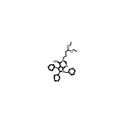 CCOC(CCCn1cnc2c(c(-c3ccccc3)c(-c3ccccc3)n2Cc2ccccc2)c1=N)OCC